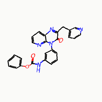 O=C(Nc1cccc(-n2c(=O)c(Cc3cccnc3)nc3cccnc32)c1)Oc1ccccc1